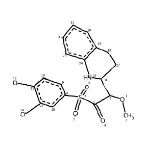 COC(C(=O)S(=O)(=O)c1ccc(Cl)c(Cl)c1)C1CCc2ccccc2N1